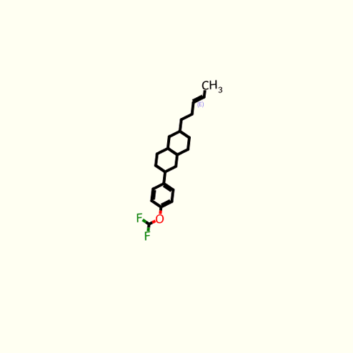 C/C=C/CCC1CCC2CC(c3ccc(OC(F)F)cc3)CCC2C1